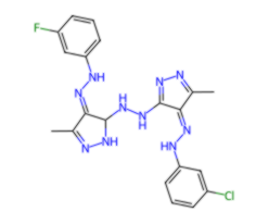 CC1=NN=C(NNC2NN=C(C)C2=NNc2cccc(F)c2)C1=NNc1cccc(Cl)c1